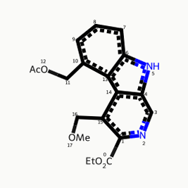 CCOC(=O)c1ncc2[nH]c3cccc(COC(C)=O)c3c2c1COC